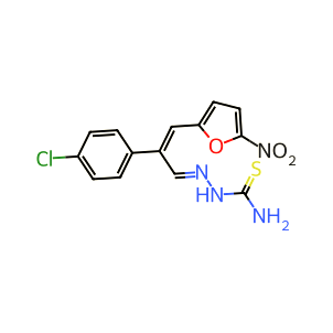 NC(=S)NN=CC(=Cc1ccc([N+](=O)[O-])o1)c1ccc(Cl)cc1